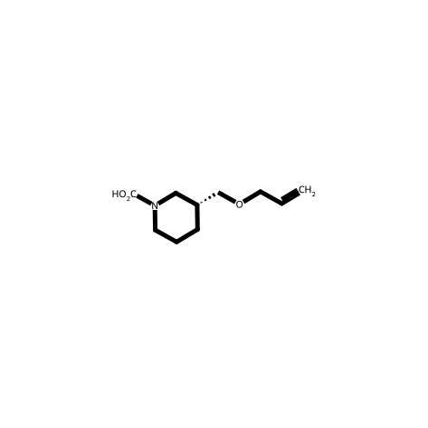 C=CCOC[C@@H]1CCCN(C(=O)O)C1